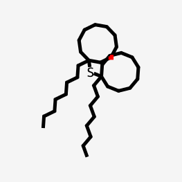 CCCCCCCCC1(SC2(CCCCCCCC)CCCCCCCCC2)CCCCCCCCC1